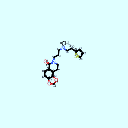 CN(CCCN1CCc2c(ccc3c2OCO3)C1=O)CCc1cccs1